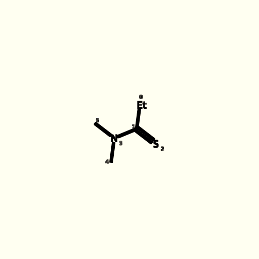 CCC(=S)N(C)C